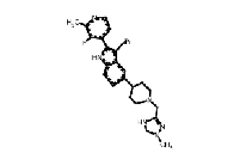 Cc1nccc(-c2[nH]c3ccc(C4CCN(CC5=NN(C)CN5)CC4)cc3c2C(C)C)c1F